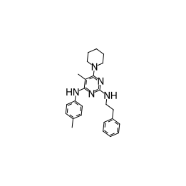 Cc1ccc(Nc2nc(NCCc3ccccc3)nc(N3CCCCC3)c2C)cc1